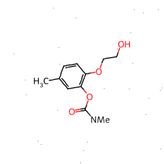 CNC(=O)Oc1cc(C)ccc1OCCO